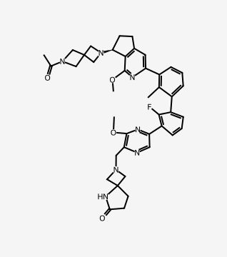 COc1nc(-c2cccc(-c3cccc(-c4cc5c(c(OC)n4)[C@@H](N4CC6(CN(C(C)=O)C6)C4)CC5)c3C)c2F)cnc1CN1CC2(CCC(=O)N2)C1